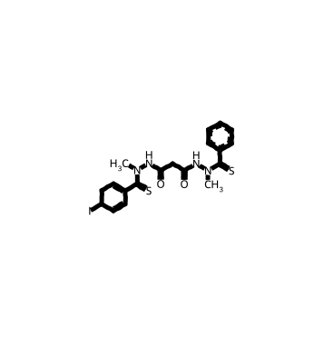 CN(NC(=O)CC(=O)NN(C)C(=S)c1ccccc1)C(=S)C1=CCC(I)C=C1